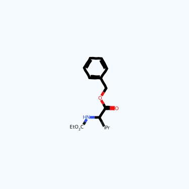 CCOC(=O)NC(C(=O)OCc1ccccc1)C(C)C